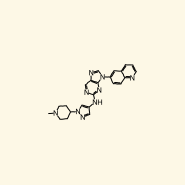 CN1CCC(n2cc(Nc3ncc4ncn(-c5ccc6ncccc6c5)c4n3)cn2)CC1